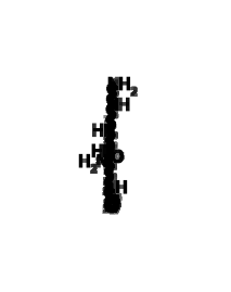 NCCCNCCCCNCCCNC(=O)[C@@H](N)CCCCNCC1CC2C=CC1C2